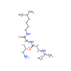 CC(C)CCCCNC(=O)[C@@H](CCCN)NC(=O)CCNC(C)C